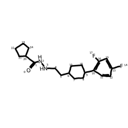 O=C(NNCCC1CCC(c2ccc(F)cc2F)CC1)C1CCCC1